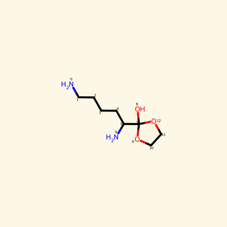 NCCCCC(N)C1(O)OCCO1